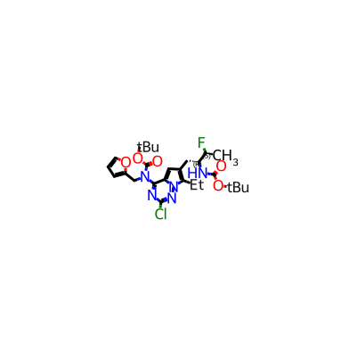 CCc1c(C[C@@H](NC(=O)OC(C)(C)C)[C@H](C)F)cc2c(N(Cc3ccco3)C(=O)OC(C)(C)C)nc(Cl)nn12